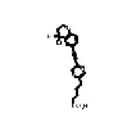 CCC1(CC)CCOc2ccc(C#Cc3cnc(CCCCC(=O)O)cn3)cc21